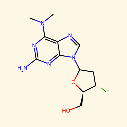 CN(C)c1nc(N)nc2c1ncn2C1C[C@H](F)[C@@H](CO)O1